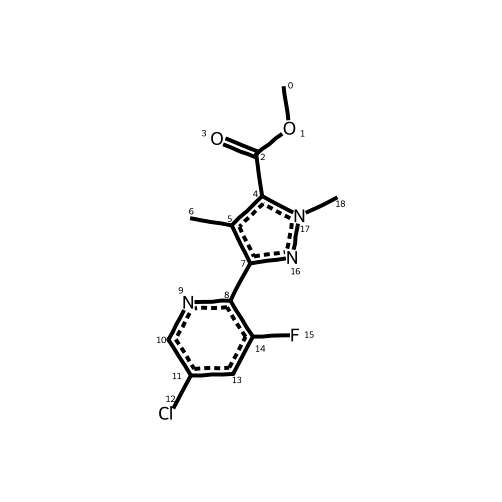 COC(=O)c1c(C)c(-c2ncc(Cl)cc2F)nn1C